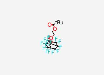 CC(C)(C)C(=O)OCCOC12C(F)(F)C3(F)C(F)(F)C(F)(C(F)(F)C(F)(C3(F)F)C1(F)F)C2(F)F